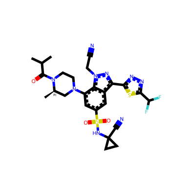 CC(C)C(=O)N1CCN(c2cc(S(=O)(=O)NC3(C#N)CC3)cc3c(-c4nnc(C(F)F)s4)nn(CC#N)c23)C[C@H]1C